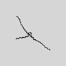 CCCCCCCCCCCCCCCCCn1cc[n+](CCCCCCCCCCCCCCC)c1CCCCCCCCC